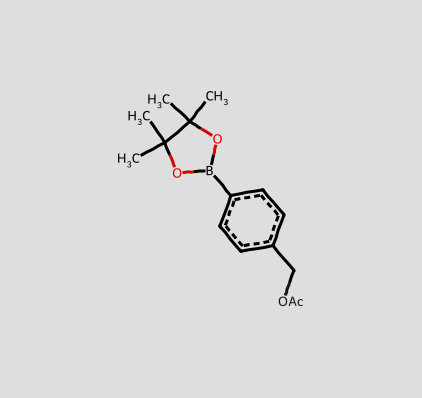 CC(=O)OCc1ccc(B2OC(C)(C)C(C)(C)O2)cc1